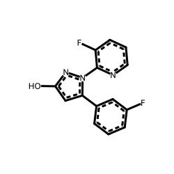 Oc1cc(-c2cccc(F)c2)n(-c2ncccc2F)n1